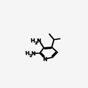 CC(C)c1ccnc(N)c1N